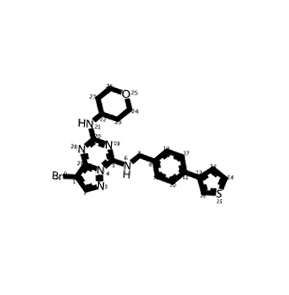 Brc1cnn2c(NCc3ccc(-c4ccsc4)cc3)nc(NC3CCOCC3)nc12